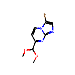 COC(OC)c1ccn2c(Br)cnc2n1